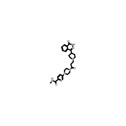 CNC(=O)c1ccc(N2CCN(C(=O)CCN3CCC(c4n[nH]c(=O)c5ccccc45)CC3)CC2)cn1